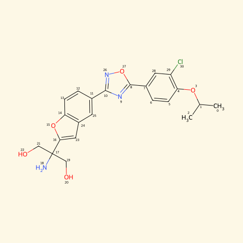 CC(C)Oc1ccc(-c2nc(-c3ccc4oc(C(N)(CO)CO)cc4c3)no2)cc1Cl